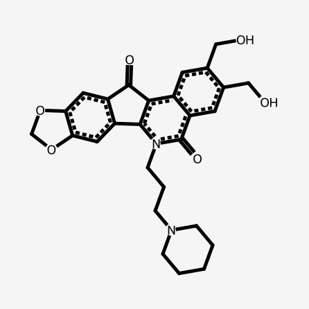 O=C1c2cc3c(cc2-c2c1c1cc(CO)c(CO)cc1c(=O)n2CCCN1CCCCC1)OCO3